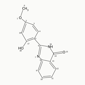 COc1ccc(-c2nc3ccccc3c(=O)[nH]2)c(O)c1